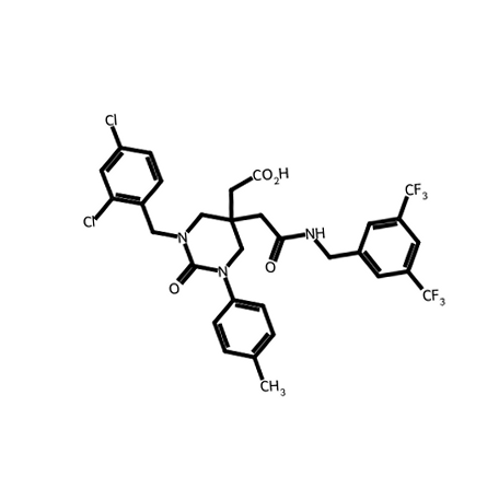 Cc1ccc(N2CC(CC(=O)O)(CC(=O)NCc3cc(C(F)(F)F)cc(C(F)(F)F)c3)CN(Cc3ccc(Cl)cc3Cl)C2=O)cc1